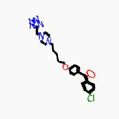 Cn1nnc(CN2CCN(CCCCCOc3ccc(C(=O)c4ccc(Cl)cc4)cc3)CC2)n1